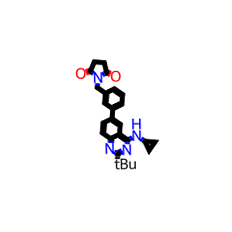 CC(C)(C)c1nc(NC2CC2)c2cc(-c3cccc(CN4C(=O)CCC4=O)c3)ccc2n1